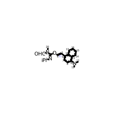 CC(C)N=C(O/C=C/c1ccc(N(C)C)c2ccccc12)N(C)C=O